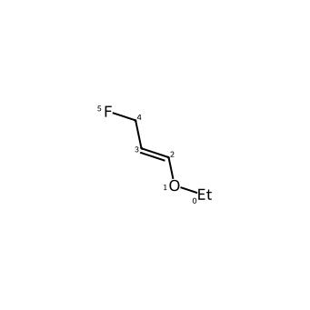 [CH2]COC=CCF